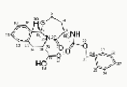 O=C(N[C@H]1CCS[C@H]2c3ccccc3C[C@@H](C(=O)O)N2C1=O)OCc1ccccc1